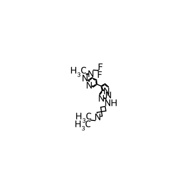 Cc1nc2ncc(-c3ccn4nc(NC5CC6(C5)CN(CC(C)C)C6)ncc34)cc2n1CC(F)F